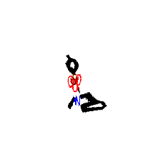 C#CCN(C)[C@H](COS(=O)(=O)c1ccc(C)cc1)Cc1ccccc1